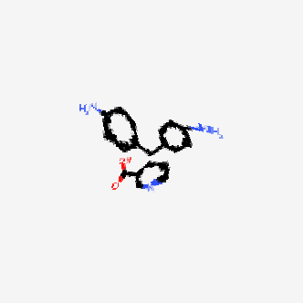 Nc1ccc(Cc2ccc(N)cc2)cc1.O=C(O)c1cccnc1